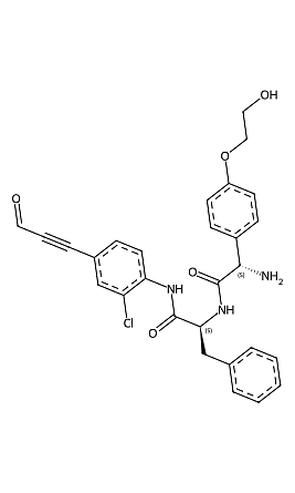 N[C@H](C(=O)N[C@@H](Cc1ccccc1)C(=O)Nc1ccc(C#CC=O)cc1Cl)c1ccc(OCCO)cc1